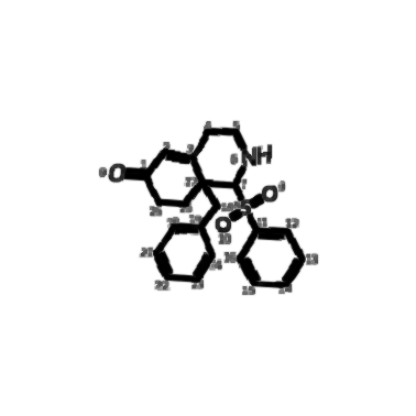 O=C1C=C2CCNC(S(=O)(=O)c3ccccc3)C2(Cc2ccccc2)CC1